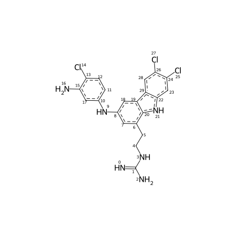 N=C(N)NCCc1cc(Nc2ccc(Cl)c(N)c2)cc2c1[nH]c1cc(Cl)c(Cl)cc12